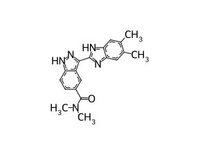 Cc1cc2nc(-c3n[nH]c4ccc(C(=O)N(C)C)cc34)[nH]c2cc1C